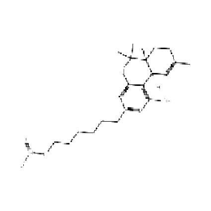 CC1=C[C@H]2c3c(O)cc(CCCCCCO[N+](=O)[O-])cc3OC(C)(C)[C@@H]2CC1